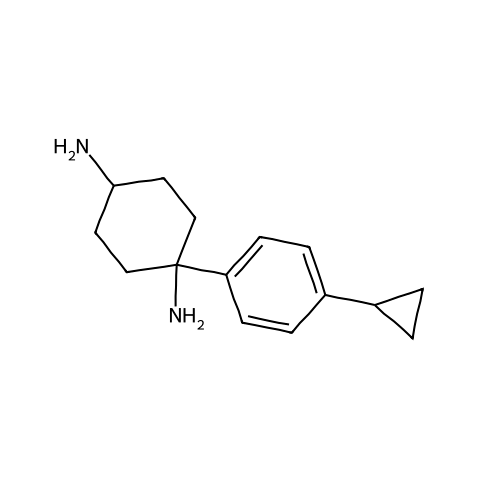 NC1CCC(N)(c2ccc(C3CC3)cc2)CC1